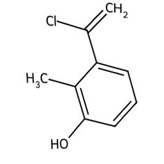 C=C(Cl)c1cccc(O)c1C